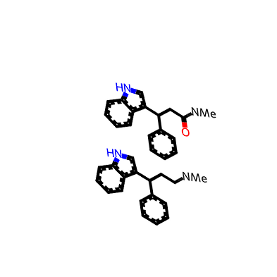 CNC(=O)CC(c1ccccc1)c1c[nH]c2ccccc12.CNCCC(c1ccccc1)c1c[nH]c2ccccc12